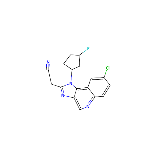 N#CCc1nc2cnc3ccc(Cl)cc3c2n1C1CCC(F)C1